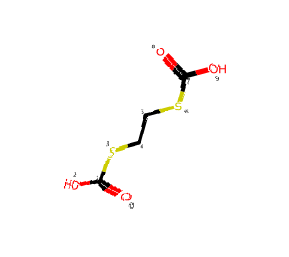 O=C(O)SCCSC(=O)O